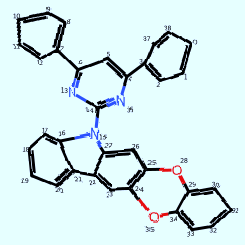 c1ccc(-c2cc(-c3ccccc3)nc(-n3c4ccccc4c4cc5c(cc43)Oc3ccccc3O5)n2)cc1